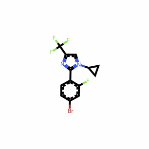 Fc1cc(Br)ccc1-c1nc(C(F)(F)F)cn1C1CC1